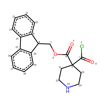 O=C(Cl)C1(C(=O)OCC2c3ccccc3-c3ccccc32)CCNCC1